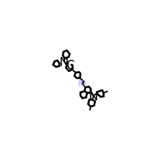 Cc1ccc(N(c2ccc(C)cc2)c2ccc(/C=C/c3ccc(-c4ccc(N(c5ccccc5)c5ccccc5)cc4)cc3)c3ccccc23)cc1